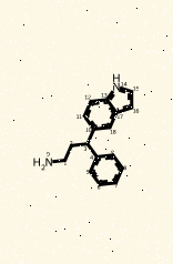 NCCC(c1ccccc1)c1ccc2[nH]ccc2c1